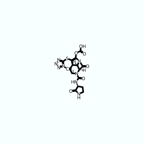 Cn1nnnc1SC1=C(OC(=O)O)N2C(=O)[C@@H]3[C@H]2C1CCN3C(=O)N[C@H]1CCNC1=O